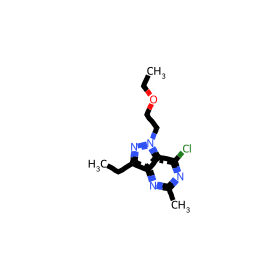 CCOCCn1nc(CC)c2nc(C)nc(Cl)c21